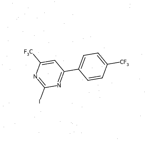 FC(F)(F)c1ccc(-c2cc(C(F)(F)F)nc(I)n2)cc1